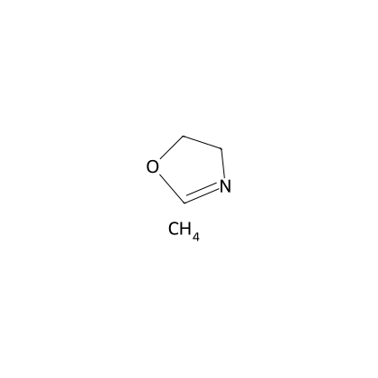 C.C1=NCCO1